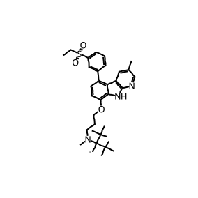 [CH2]C(N(C)CCCOc1ccc(-c2cccc(S(=O)(=O)CC)c2)c2c1[nH]c1ncc(C)cc12)(C(C)(C)C)C(C)(C)C